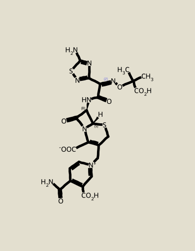 CC(C)(O/N=C(\C(=O)N[C@@H]1C(=O)N2C(C(=O)[O-])=C(C[n+]3ccc(C(N)=O)c(C(=O)O)c3)CS[C@@H]12)c1nsc(N)n1)C(=O)O